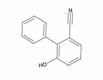 N#Cc1cccc(O)c1-c1ccccc1